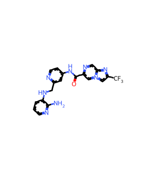 Nc1ncccc1NCc1cc(NC(=O)c2cn3cc(C(F)(F)F)nc3cn2)ccn1